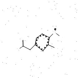 NC(O)Cc1ccc([N+](=O)[O-])c(O)c1